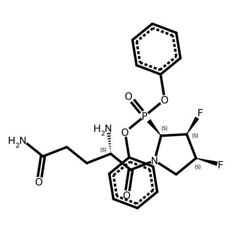 NC(=O)CC[C@H](N)C(=O)N1C[C@H](F)[C@H](F)[C@@H]1P(=O)(Oc1ccccc1)Oc1ccccc1